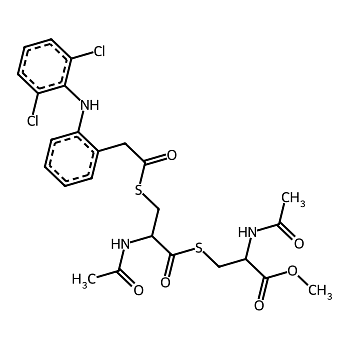 COC(=O)C(CSC(=O)C(CSC(=O)Cc1ccccc1Nc1c(Cl)cccc1Cl)NC(C)=O)NC(C)=O